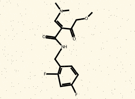 COCC(=O)/C(=C\N(C)C)C(=O)NCc1ccc(F)cc1F